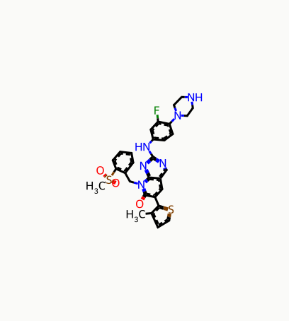 Cc1ccsc1-c1cc2cnc(Nc3ccc(N4CCNCC4)c(F)c3)nc2n(Cc2ccccc2S(C)(=O)=O)c1=O